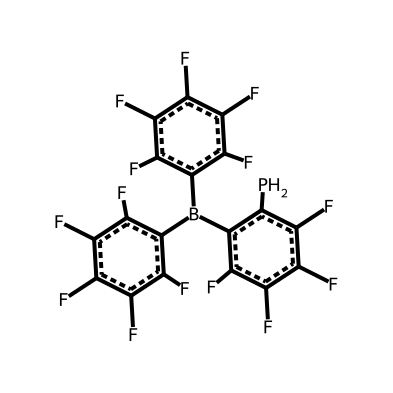 Fc1c(F)c(F)c(B(c2c(F)c(F)c(F)c(F)c2F)c2c(F)c(F)c(F)c(F)c2P)c(F)c1F